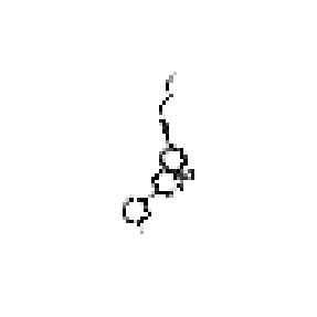 CCCCC#Cc1ccc2ncc(-c3cccc(F)c3)cc2c1.Cl